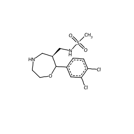 CS(=O)(=O)NC[C@@H]1CNCCOC1c1ccc(Cl)c(Cl)c1